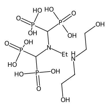 CCN(C(P(=O)(O)O)P(=O)(O)O)C(P(=O)(O)O)P(=O)(O)O.OCCNCCO